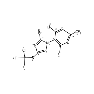 FC(Cl)(Cl)Sc1cn(-c2c(Cl)cc(C(F)(F)F)cc2Cl)c(Br)n1